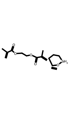 C1CC[SiH2]OC1.C=C.C=C(C)C(=O)OCCOC(=O)C(=C)C